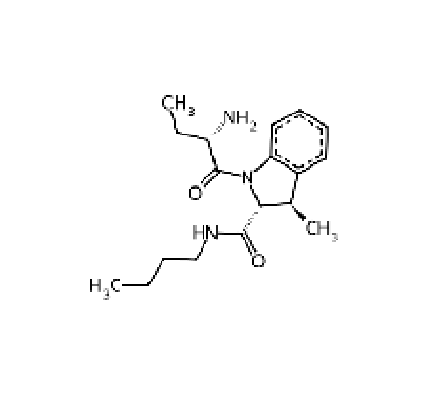 CCCCNC(=O)[C@H]1[C@H](C)c2ccccc2N1C(=O)[C@@H](N)CC